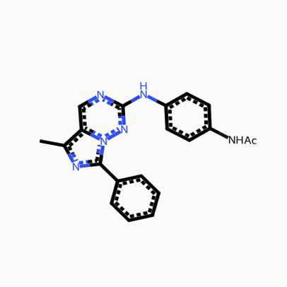 CC(=O)Nc1ccc(Nc2ncc3c(C)nc(-c4ccccc4)n3n2)cc1